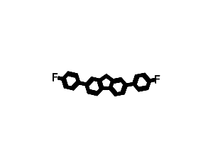 Fc1ccc(-c2ccc3c(c2)Cc2cc(-c4ccc(F)cc4)ccc2-3)cc1